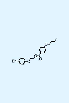 CCCCOc1ccc(C(=O)OCCOc2ccc(Br)cc2)cc1